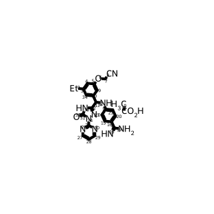 CC(=O)O.CCc1cc(OCC#N)cc(C(Nc2ccc(C(=N)N)cc2)c2nn(-c3ncccn3)c(=O)[nH]2)c1